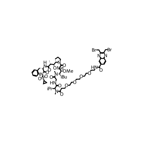 CC[C@H](C)[C@@H]([C@@H](CC(=O)N1CCC[C@H]1[C@H](OC)[C@@H](C)C(=O)N[C@@H](Cc1ccccc1)C(=O)NS(=O)(=O)C1CC1)OC)N(C)C(=O)CNC(=O)C(C(C)C)N(C)C(=O)CCOCCOCCOCCOCCNC(=O)c1ccc2nc(CBr)c(CBr)nc2c1